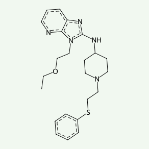 CCOCCn1c(NC2CCN(CCSc3ccccc3)CC2)nc2cccnc21